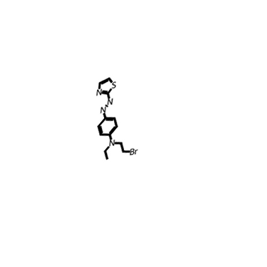 CCN(CCBr)c1ccc(/N=N/c2nccs2)cc1